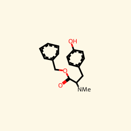 CNC(Cc1ccc(O)cc1)C(=O)OCc1ccccc1